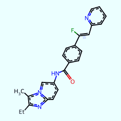 CCc1nc2ccc(NC(=O)c3ccc(/C(F)=C/c4ccccn4)cc3)cn2c1C